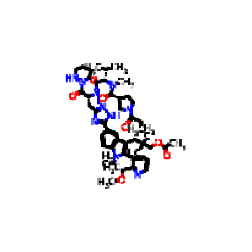 C=CC(=O)N1CC[C@H](C(=O)N(C)[C@H](C(=O)N[C@@H](Cc2n[nH]c(-c3ccc4c(c3)c(CC(C)(C)COC(C)=O)c(-c3cccnc3[C@H](C)OC)n4CC)n2)C(=O)N2CCCCN2)C(C)C)C1